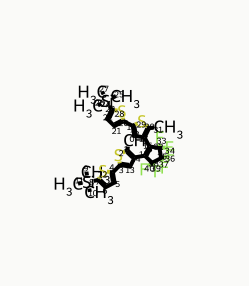 Cc1sc(-c2ccc([Si](C)(C)C)s2)cc1C1=C(c2cc(-c3ccc([Si](C)(C)C)s3)sc2C)C(F)(F)C(F)(F)C1(F)F